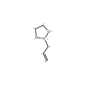 C=C[CH][13CH]1OCCO1